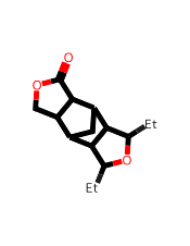 CCC1OC(CC)C2C3CC(C4COC(=O)C43)C12